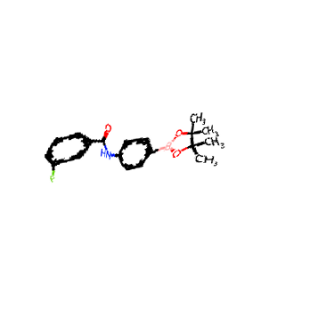 CC1(C)OB(c2ccc(NC(=O)c3cccc(F)c3)cc2)OC1(C)C